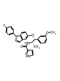 COc1cccc([C@@H](Oc2ccc3c(cnn3-c3ccc(F)cc3)c2)[C@H](C)NC(=O)c2cc[nH]n2)c1